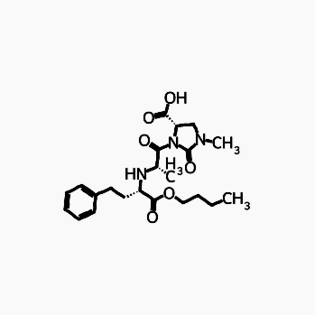 CCCCOC(=O)[C@H](CCc1ccccc1)N[C@@H](C)C(=O)N1C(=O)N(C)C[C@H]1C(=O)O